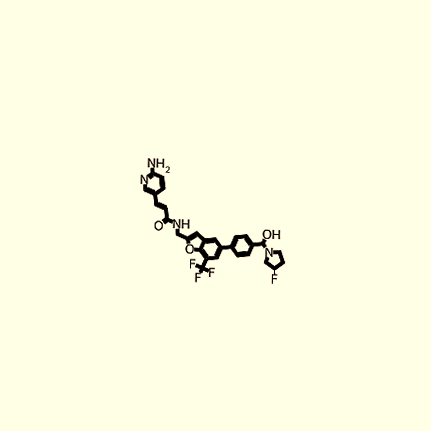 Nc1ccc(/C=C/C(=O)NCc2cc3cc(-c4ccc(C(O)N5CC[C@H](F)C5)cc4)cc(C(F)(F)F)c3o2)cn1